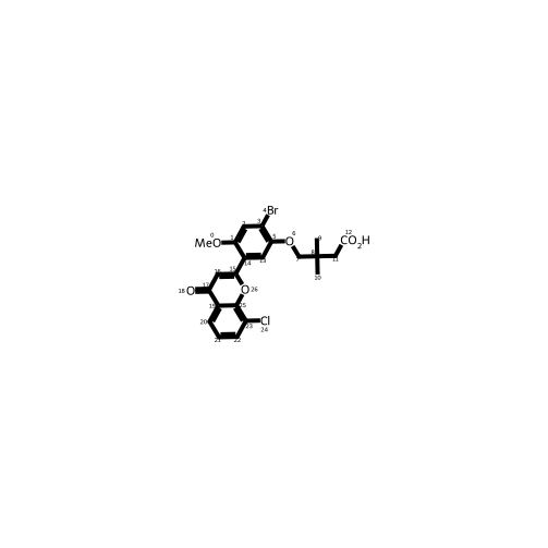 COc1cc(Br)c(OCC(C)(C)CC(=O)O)cc1-c1cc(=O)c2cccc(Cl)c2o1